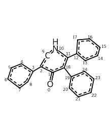 O=c1c(-c2ccccc2)c[nH]c(-c2ccccc2)c1-c1ccccc1